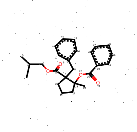 CC(C)COC(=O)C1(Cc2ccccc2)CCCC1(C)OC(=O)c1ccccc1